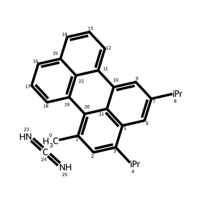 Cc1cc(C(C)C)c2cc(C(C)C)cc3c4cccc5cccc(c1c23)c54.N=C=N